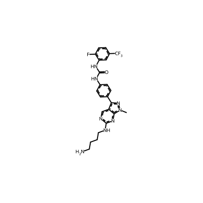 Cn1nc(-c2ccc(NC(=O)Nc3cc(C(F)(F)F)ccc3F)cc2)c2cnc(NCCCCN)nc21